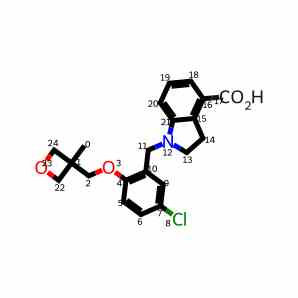 CC1(COc2ccc(Cl)cc2CN2CCc3c(C(=O)O)cccc32)COC1